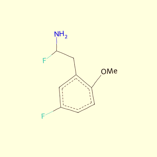 COc1ccc(F)cc1CC(N)F